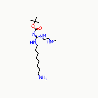 CNCCN/C(=N\C(=O)OC(C)(C)C)NCCCCCCCCN